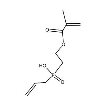 C=CCP(=O)(O)CCOC(=O)C(=C)C